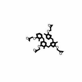 Cc1ccc(Cc2cc(Cc3cc(Cc4cccc(OCC5CO5)c4C)cc(OCC4CO4)c3C)cc(OCC3CO3)c2C)cc1OCC1CO1